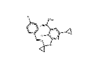 COC(=O)c1nc(C2CC2)nc(NC2(C=Cc3ccc(Cl)cc3)CC2)c1Cl